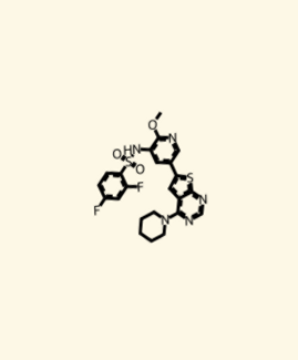 COc1ncc(-c2cc3c(N4CCCCC4)ncnc3s2)cc1NS(=O)(=O)c1ccc(F)cc1F